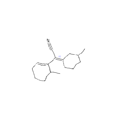 CC1CCC/C(=C(/C#N)C2=CCCCC2C)C1